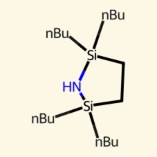 CCCC[Si]1(CCCC)CC[Si](CCCC)(CCCC)N1